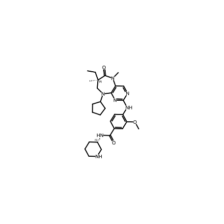 CC[C@]1(C)CN(C2CCCC2)c2nc(Nc3ccc(C(=O)N[C@H]4CCCNC4)cc3OC)ncc2N(C)C1=O